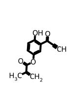 C#CC(=O)c1cc(OC(=O)C(=C)C)ccc1O